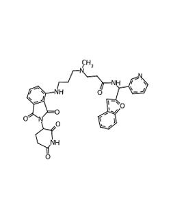 CN(CCCNc1cccc2c1C(=O)N(C1CCC(=O)NC1=O)C2=O)CCC(=O)NC(c1cccnc1)c1cc2ccccc2o1